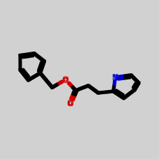 O=C(CCc1ccccn1)OCc1ccccc1